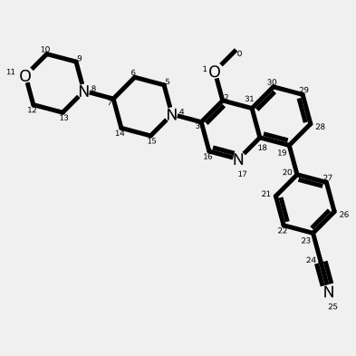 COc1c(N2CCC(N3CCOCC3)CC2)cnc2c(-c3ccc(C#N)cc3)cccc12